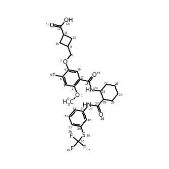 COc1cc(F)c(OCC2CC(C(=O)O)C2)cc1C(=O)NC1CCCCC1C(=O)Nc1cccc(SC(F)(F)F)c1